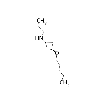 CCCCCO[C@H]1C[C@H](NCCC)C1